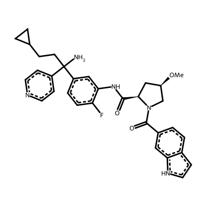 CO[C@@H]1C[C@H](C(=O)Nc2cc(C(N)(CCC3CC3)c3ccncc3)ccc2F)N(C(=O)c2ccc3cc[nH]c3c2)C1